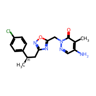 Cc1c(N)cnn(Cc2nc(C[C@@H](C)c3ccc(Cl)cc3)no2)c1=O